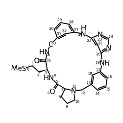 CSCC[C@@H]1NC(=O)C2CCCN2Cc2cccc(c2)Nc2cc(ncn2)Nc2cccc(c2)CNC1=O